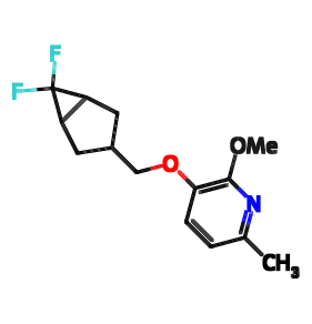 COc1nc(C)ccc1OCC1CC2C(C1)C2(F)F